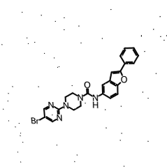 O=C(Nc1ccc2oc(-c3ccccc3)cc2c1)N1CCN(c2ncc(Br)cn2)CC1